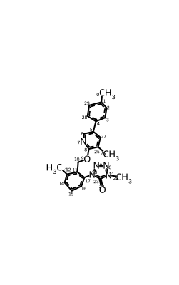 Cc1ccc(-c2cnc(OCc3c(C)cccc3-n3nnn(C)c3=O)c(C)c2)cc1